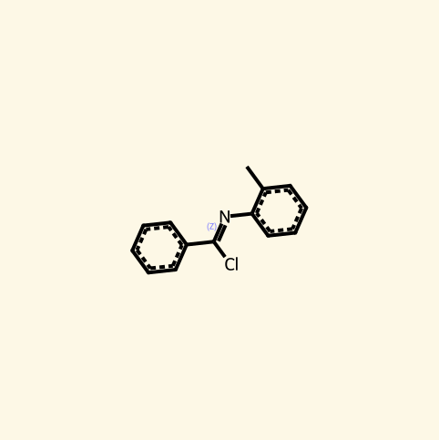 Cc1ccccc1/N=C(\Cl)c1ccccc1